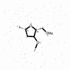 COC[C@H]1O[C@@H](I)CC1OI